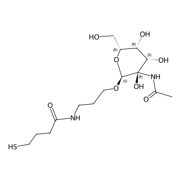 CC(=O)N[C@]1(O)[C@@H](OCCCNC(=O)CCCS)O[C@H](CO)[C@H](O)[C@@H]1O